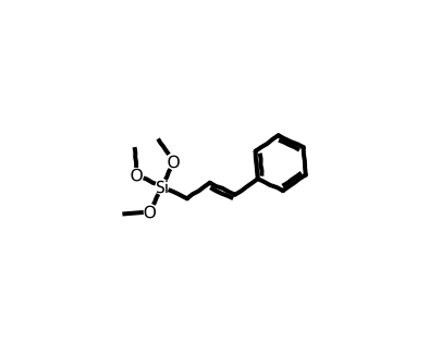 CO[Si](CC=Cc1ccccc1)(OC)OC